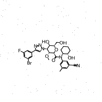 CO[C@@H]1[C@@H](n2cc(-c3cc(F)cc(Br)c3)nn2)[C@@H](O)[C@@H](CO)O[C@H]1C(=O)N(c1cc(C)cc(C#N)c1)[C@H]1CCCC[C@@H]1O